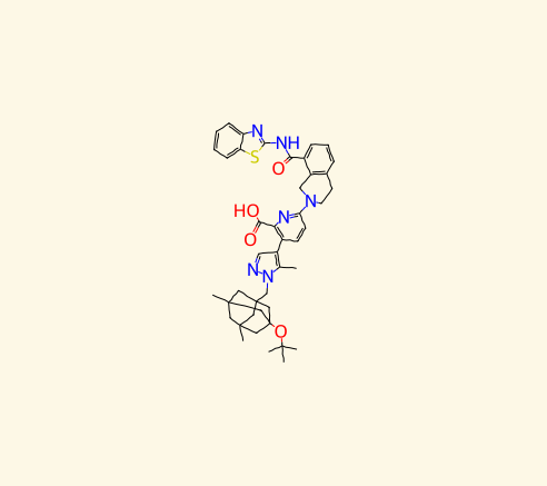 Cc1c(-c2ccc(N3CCc4cccc(C(=O)Nc5nc6ccccc6s5)c4C3)nc2C(=O)O)cnn1CC12CC3(C)CC(C)(C1)CC(OC(C)(C)C)(C3)C2